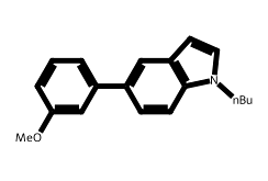 CCCCn1ccc2cc(-c3cccc(OC)c3)ccc21